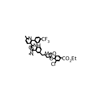 CCOC(=O)c1cc(Cl)c(OC(=O)CCCc2ccc(NC(=O)c3ccc(C)nc3-c3ccc(C(F)(F)F)cc3)c(C(=O)N(C)C)c2)c(OC)c1